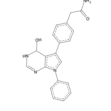 NC(=O)Cc1ccc(-c2cn(-c3ccccc3)c3c2C(O)NC=N3)cc1